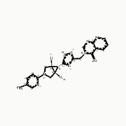 O=c1c2cccnc2ncn1Cc1nc([C@@H]2[C@@H]3CN(c4ccc(Cl)cn4)C[C@@H]32)no1